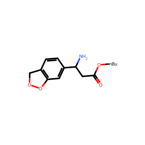 CCCCOC(=O)CC(N)c1ccc2c(c1)OOC2